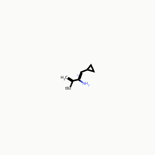 C=C(/C(N)=C/C1CC1)C(C)(C)C